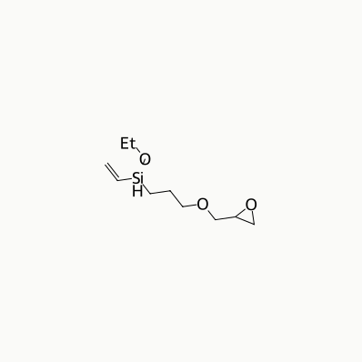 C=C[SiH](CCCOCC1CO1)OCC